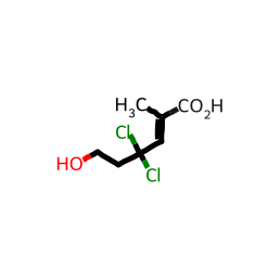 CC(=CC(Cl)(Cl)CCO)C(=O)O